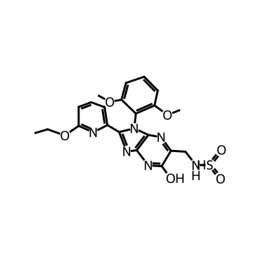 CCOc1cccc(-c2nc3nc(O)c(CN[SH](=O)=O)nc3n2-c2c(OC)cccc2OC)n1